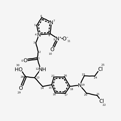 O=C(CCn1ccnc1[N+](=O)[O-])NC(Cc1ccc(N(CCCl)CCCl)cc1)C(=O)O